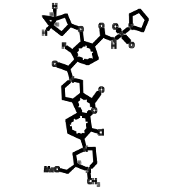 COC[C@H]1CN(c2ccc3c4c(c(=O)oc3c2Cl)CN(C(=O)c2ccc(C(=O)NS(=O)(=O)N3CCCC3)c(OC3C[C@@H]5C[C@@H]5C3)c2F)CC4)CCN1C